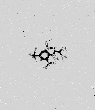 CC(C)CN(C)c1c([N+](=O)[O-])cc(C(F)(F)F)cc1[N+](=O)[O-]